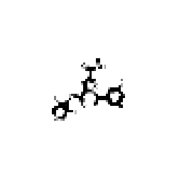 CNC(=O)c1cc(C(=O)N[C@H]2[C@@H]3COC[C@@H]32)n(C(C)c2cc(F)cc(Cl)c2)n1